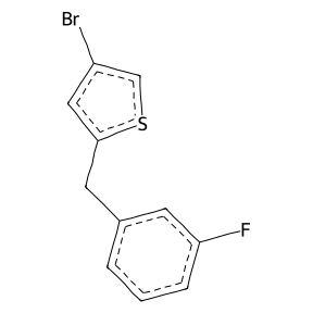 Fc1cccc(Cc2cc(Br)cs2)c1